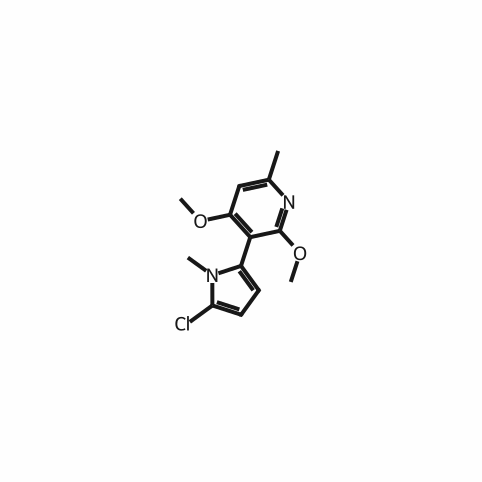 COc1cc(C)nc(OC)c1-c1ccc(Cl)n1C